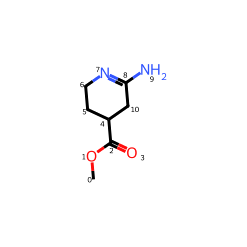 COC(=O)C1CCN=C(N)C1